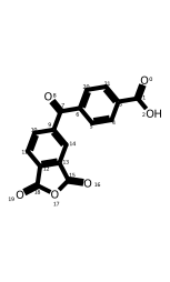 O=C(O)c1ccc(C(=O)c2ccc3c(c2)C(=O)OC3=O)cc1